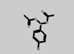 CC(=O)OI(OC(C)=O)c1ccc(Br)cc1